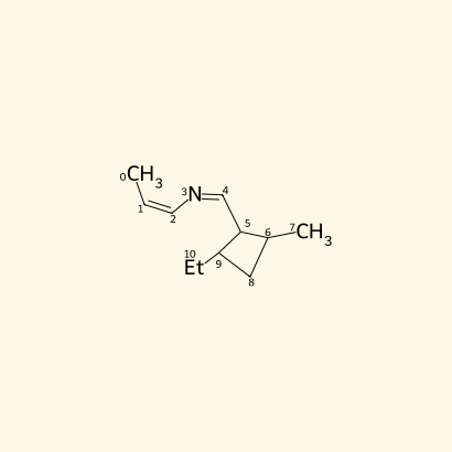 C/C=C\N=C/C1C(C)CC1CC